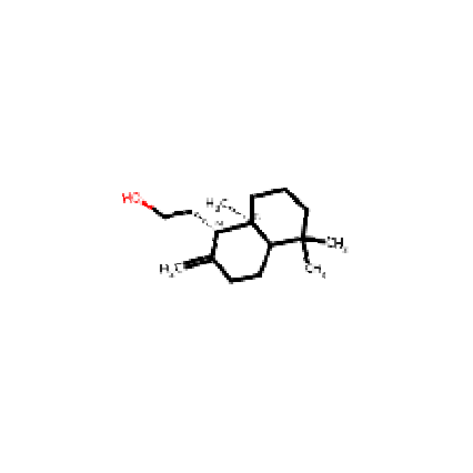 C=C1CCC2C(C)(C)CCC[C@]2(C)[C@H]1CCO